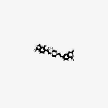 Cc1c(C(O)CN2CCN(CCc3ccc4c(c3)CC(C)OC4=O)CC2)ccc2c1COC2=O